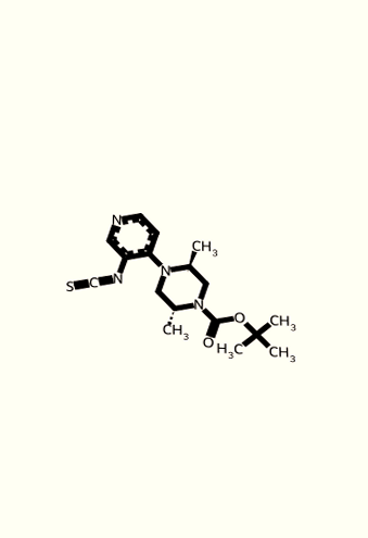 C[C@@H]1CN(c2ccncc2N=C=S)[C@@H](C)CN1C(=O)OC(C)(C)C